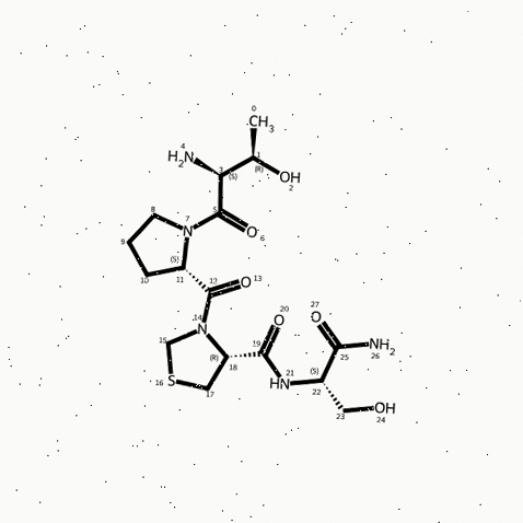 C[C@@H](O)[C@H](N)C(=O)N1CCC[C@H]1C(=O)N1CSC[C@H]1C(=O)N[C@@H](CO)C(N)=O